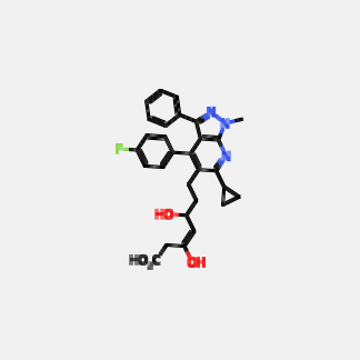 Cn1nc(-c2ccccc2)c2c(-c3ccc(F)cc3)c(CCC(O)/C=C(/O)CC(=O)O)c(C3CC3)nc21